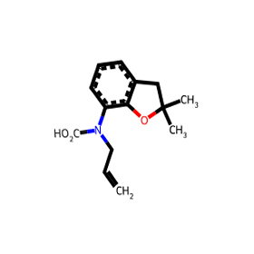 C=CCN(C(=O)O)c1cccc2c1OC(C)(C)C2